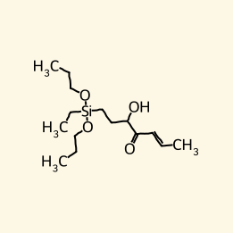 CC=CC(=O)C(O)CC[Si](CC)(OCCC)OCCC